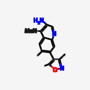 CNc1c(N)cnc2cc(-c3c(C)noc3C)c(C)cc12